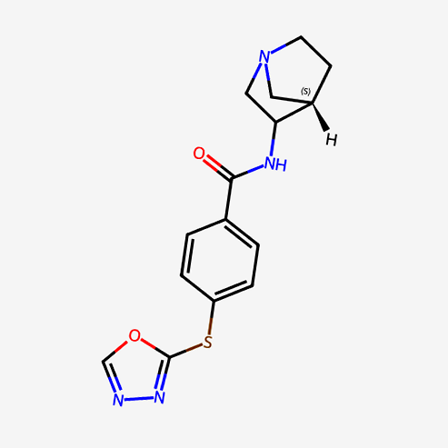 O=C(NC1CN2CC[C@H]1C2)c1ccc(Sc2nnco2)cc1